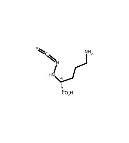 NCCC[C@@H](NN=C=S)C(=O)O